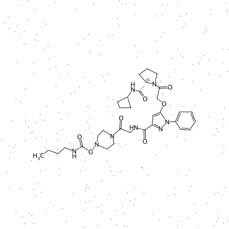 CCCCNC(=O)ON1CCN(C(=O)CNC(=O)c2cc(OCC(=O)N3CCC[C@H]3C(=O)NC3CCC3)n(-c3ccccc3)n2)CC1